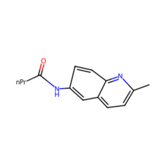 CCCC(=O)Nc1ccc2nc(C)ccc2c1